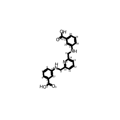 O=C(O)c1cccc(NCc2cccc(CNc3cccc(C(=O)O)c3)n2)c1